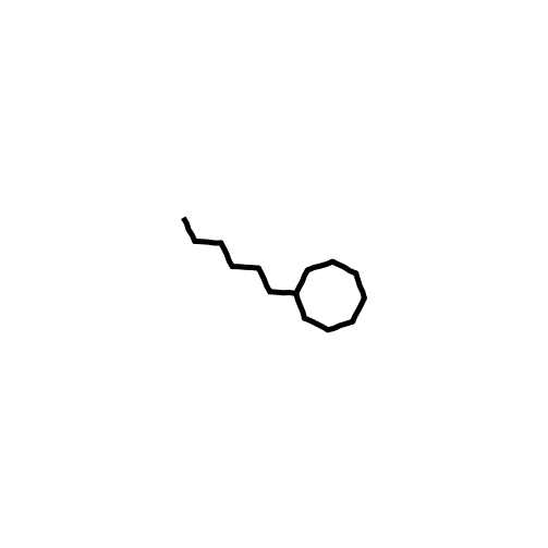 CCCCCCC1CCCCCCC1